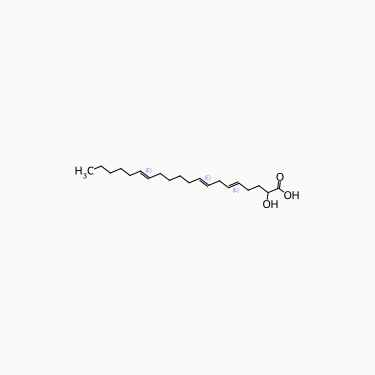 CCCCC/C=C/CCCC/C=C/C/C=C/CCC(O)C(=O)O